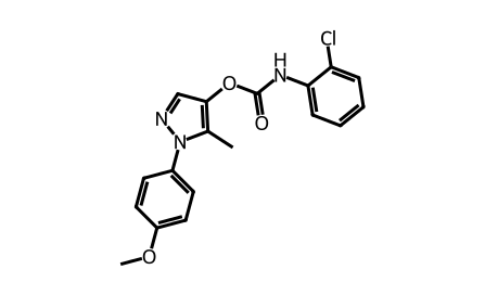 COc1ccc(-n2ncc(OC(=O)Nc3ccccc3Cl)c2C)cc1